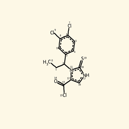 CCC(c1ccc(Cl)c(Cl)c1)n1c(C(=O)Cl)c[nH]c1=S